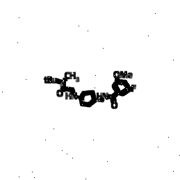 COc1cc(F)cc(C(=O)NC[C@H]2CC[C@H](NCC(=O)N(C)C(C)(C)C)CC2)c1